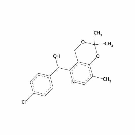 Cc1cnc(C(O)c2ccc(Cl)cc2)c2c1OC(C)(C)OC2